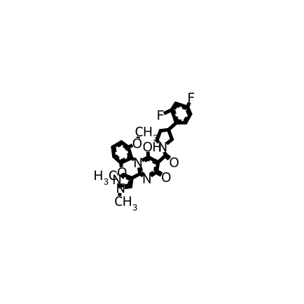 COc1cccc(OC)c1-n1c(-c2cnn(C)c2)nc(=O)c(C(=O)N2CCC(c3ccc(F)cc3F)C2)c1O